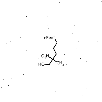 CCCCCCCCC(C)(CO)[N+](=O)[O-]